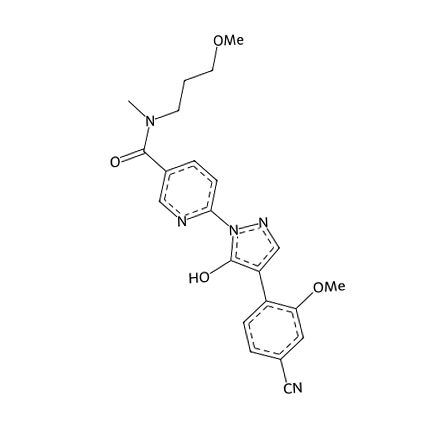 COCCCN(C)C(=O)c1ccc(-n2ncc(-c3ccc(C#N)cc3OC)c2O)nc1